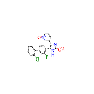 [O-][n+]1cccc(-c2nc(O)[nH]c2-c2ccc(-c3ccccc3Cl)cc2F)c1